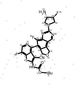 CC(C)(C)OC(=O)Nc1sc2c(F)cnc(-c3c4c(c5cnc(N6C[C@H](N)[C@@H](F)C6)nc5c3F)COC4)c2c1C#N